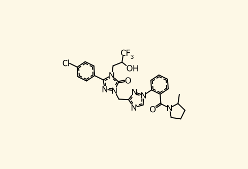 CC1CCCN1C(=O)c1ccccc1-n1cnc(Cn2nc(-c3ccc(Cl)cc3)n(CC(O)C(F)(F)F)c2=O)n1